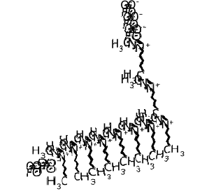 CCCCCC[n+]1ccn(C)c1.CCCCCC[n+]1ccn(C)c1.CCCCCC[n+]1ccn(C)c1.CCCCCC[n+]1ccn(C)c1.CCCCCC[n+]1ccn(C)c1.CCCCCC[n+]1ccn(C)c1.CCCCCC[n+]1ccn(C)c1.CCCCCC[n+]1ccn(C)c1.CCCCCC[n+]1ccn(C)c1.CCCCCC[n+]1ccn(C)c1.O=P([O-])([O-])F.O=P([O-])([O-])F.O=P([O-])([O-])F.O=P([O-])([O-])F.O=P([O-])([O-])F